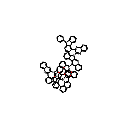 CC1(C)c2cc(-c3cc4ccccc4c4c3c3ccccc3n4-c3c4ccccc4cc4c3c3ccccc3n4-c3nc4ccccc4nc3-c3cccc4c3c3ccccc3n4-c3ccccc3)ccc2-c2c(-c3nc4ccccc4nc3-n3c4ccccc4c4c(-n5c6ccccc6c6ccc7ccccc7c65)c5ccccc5cc43)cccc21